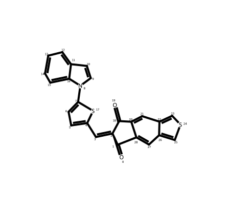 O=C1C(=Cc2ccc(-n3ccc4ccccc43)s2)C(=O)c2cc3cscc3cc21